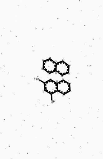 Oc1cc(O)c2ccccc2c1.c1ccc2ccccc2c1